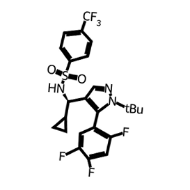 CC(C)(C)n1ncc([C@H](NS(=O)(=O)c2ccc(C(F)(F)F)cc2)C2CC2)c1-c1cc(F)c(F)cc1F